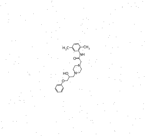 Cc1ccc(C)c(NC(=O)CN2CCN(CC(O)COc3ccccc3)CC2)c1